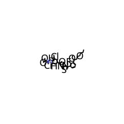 CCCOCCC(OC)c1cccc(-c2csc(NC(=O)c3cc(Cl)c(/C=C(\C)C(=O)O)c(Cl)c3)n2)c1F